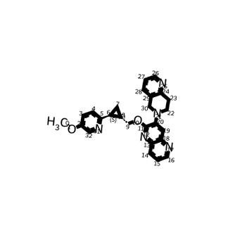 COc1ccc([C@H]2C[C@@H]2COc2nc3cccnc3cc2N2CCc3ncccc3C2)nc1